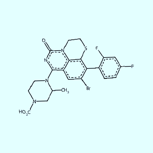 CC1CN(C(=O)O)CCN1c1nc(=O)n2c3c(c(-c4ccc(F)cc4F)c(Br)cc13)SCC2